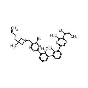 C=CCCC1(C)CN(Cc2ncc(-c3cccc(-c4cccc(-c5cnc(/C(=C\C)CC)c(C)n5)c4Cl)c3C)nc2CC)C1